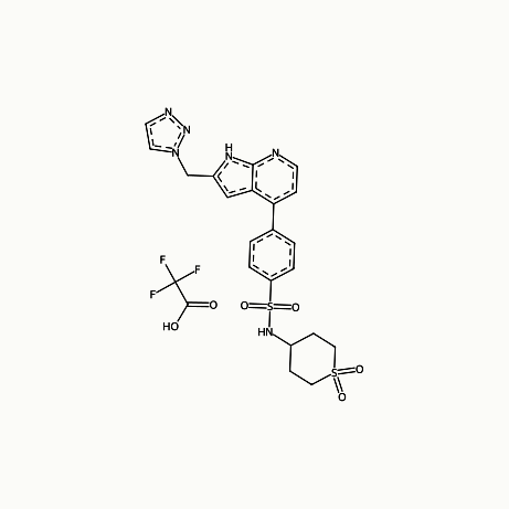 O=C(O)C(F)(F)F.O=S1(=O)CCC(NS(=O)(=O)c2ccc(-c3ccnc4[nH]c(Cn5ccnn5)cc34)cc2)CC1